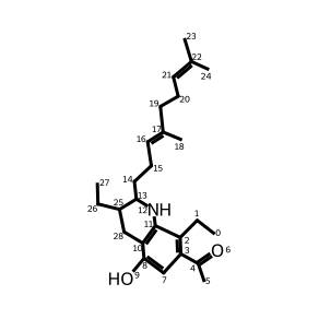 CCc1c(C(C)=O)cc(O)c2c1NC(CC/C=C(\C)CCC=C(C)C)C(CC)C2